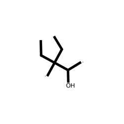 [CH2]C(O)C([CH2])(CC)CC